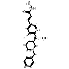 Cl.Cl.O=C(C=Cc1cnc(N[C@@H]2CCCN(Cc3ccccc3)C2)c(F)c1)NO